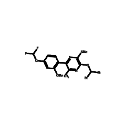 CCC(CC)Oc1nc(C)c(-c2ccc(OC(F)F)cc2OC)nc1NC